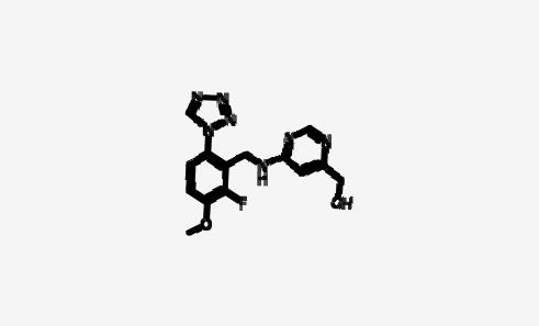 COc1ccc(-n2cnnn2)c(CNc2cc(CO)ncn2)c1F